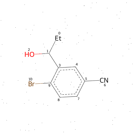 CCC(O)c1cc(C#N)ccc1Br